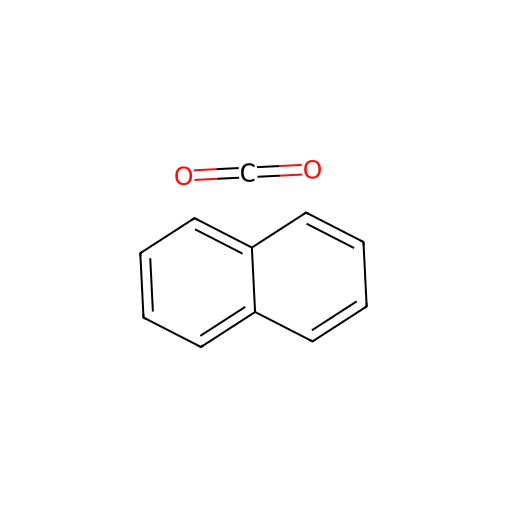 O=C=O.c1ccc2ccccc2c1